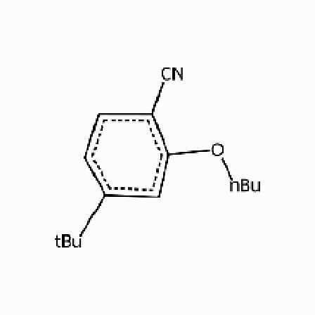 CCCCOc1cc(C(C)(C)C)ccc1C#N